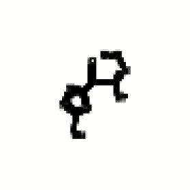 CO/N=C(\C(=O)c1nnc(C(C)(C)C)o1)C(C)C